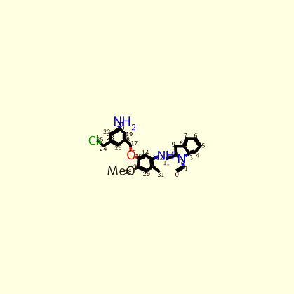 C=CN1c2ccccc2CC1CNc1cc(OCc2cc(N)cc(CCl)c2)c(OC)cc1C